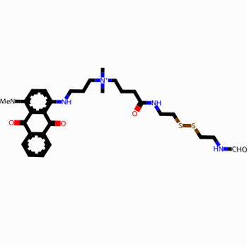 CNc1ccc(NCCC[N+](C)(C)CCCC(=O)NCCSSCCNC=O)c2c1C(=O)c1ccccc1C2=O